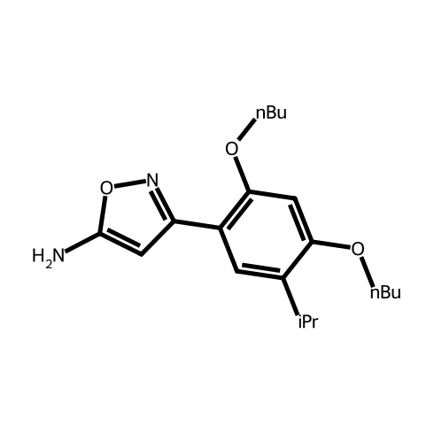 CCCCOc1cc(OCCCC)c(C(C)C)cc1-c1cc(N)on1